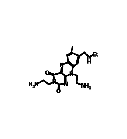 CCNCc1cc2c(cc1C)nc1c(=O)n(CCN)c(=O)nc-1n2CCN